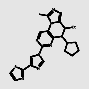 CCC1c2nnc(C)n2-c2cnc(-n3cnc(-c4nccs4)c3)nc2N1C1CCCC1